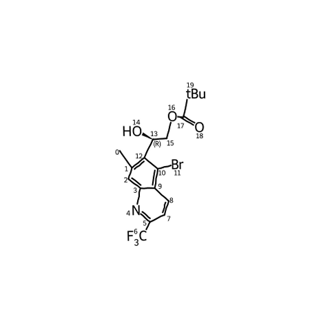 Cc1cc2nc(C(F)(F)F)ccc2c(Br)c1[C@@H](O)COC(=O)C(C)(C)C